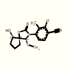 CO[C@@H]1N(c2ccc(C#N)c(Cl)c2C)C(=O)O[C@]12CCC[C@H]2O